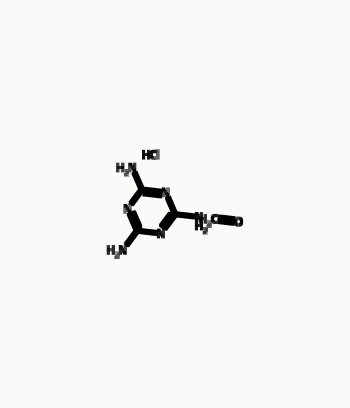 C=O.Cl.Nc1nc(N)nc(N)n1